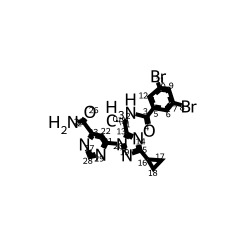 C[C@H](NC(=O)c1cc(Br)cc(Br)c1)c1nc(C2CC2)nn1-c1cc(C(N)=O)ncn1